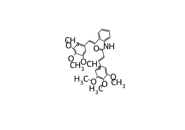 COc1cc(/C=C/C(=O)Nc2ccccc2/C=C/c2cc(OC)c(OC)c(OC)c2)cc(OC)c1OC